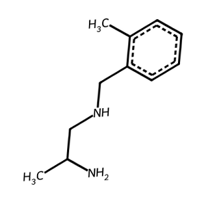 Cc1ccccc1CNCC(C)N